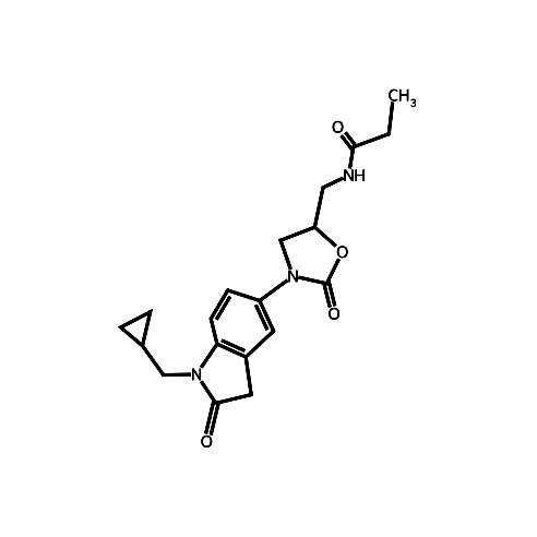 CCC(=O)NCC1CN(c2ccc3c(c2)CC(=O)N3CC2CC2)C(=O)O1